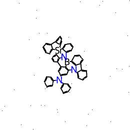 c1ccc(N(c2ccccc2)c2cc3c4c(c2)-n2c5ccccc5c5cccc(c52)B4N2c4ccccc4[Si]4(c5ccccc5-c5ccccc54)c4cccc-3c42)cc1